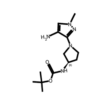 Cn1cc(N)c(N2CC[C@@H](NC(=O)OC(C)(C)C)C2)n1